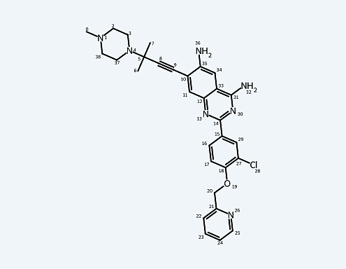 CN1CCN(C(C)(C)C#Cc2cc3nc(-c4ccc(OCc5ccccn5)c(Cl)c4)nc(N)c3cc2N)CC1